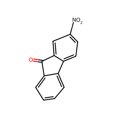 O=C1c2ccccc2-c2ccc([N+](=O)[O-])cc21